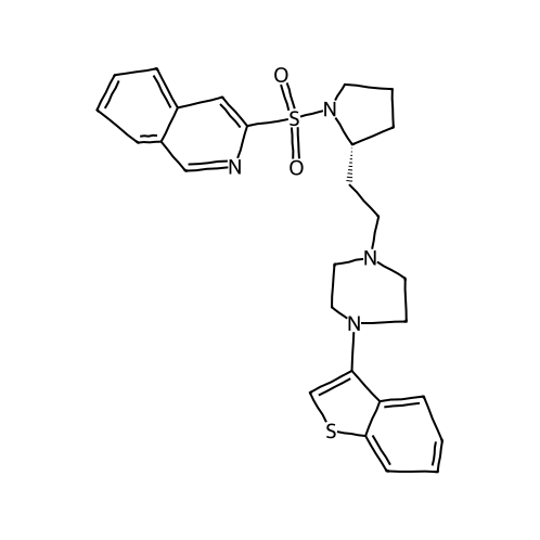 O=S(=O)(c1cc2ccccc2cn1)N1CCC[C@@H]1CCN1CCN(c2csc3ccccc23)CC1